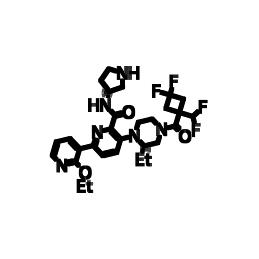 CCOc1ncccc1-c1ccc(N2CCN(C(=O)C3(C(F)F)CC(F)(F)C3)C[C@H]2CC)c(C(=O)N[C@@H]2CCNC2)n1